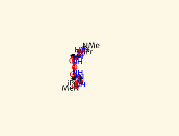 CN[C@@H](C)C(=O)N[C@H](C(=O)N1CCC[C@H]1c1cncc(-n2cc(C(=O)NCCCOCCCNC(=O)c3cn(-c4cncc([C@@H]5CCCN5C(=O)[C@@H](NC(=O)[C@H](C)NC)C(C)C)c4)c4ccccc34)c3ccccc32)c1)C(C)C